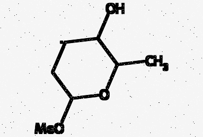 COC1C[CH]C(O)C(C)O1